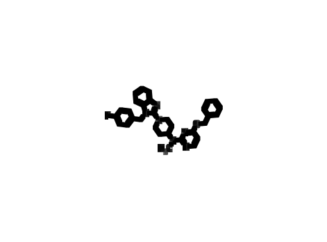 CN(c1nccc(OCc2ccccc2)n1)C1CCN(c2nc3ccccc3n2Cc2ccc(F)cc2)CC1